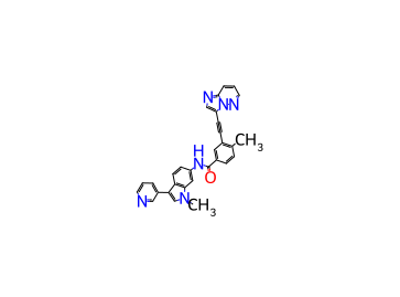 Cc1ccc(C(=O)Nc2ccc3c(-c4cccnc4)cn(C)c3c2)cc1C#Cc1cnc2cccnn12